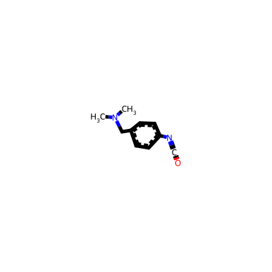 CN(C)Cc1ccc(N=C=O)cc1